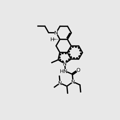 CCCN1CCC=C2c3cccc4c3c(c(C)n4NC(=O)N(CC)C(C)N(C)C)C[C@H]21